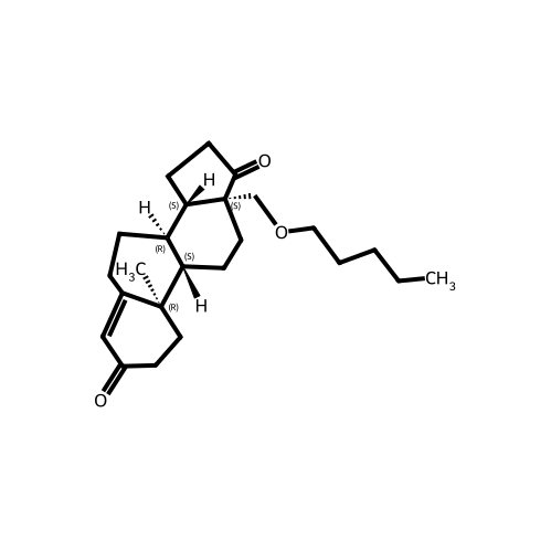 CCCCCOC[C@]12CC[C@H]3[C@@H](CCC4=CC(=O)CC[C@@]43C)[C@@H]1CCC2=O